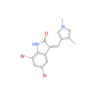 Cc1cn(C)cc1C=C1C(=O)Nc2c(Br)cc(Br)cc21